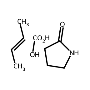 CC=CC.O=C(O)O.O=C1CCCN1